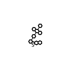 c1ccc(-c2c3ccccc3c(-c3ccc(-c4cccc5sc6cc7ccccc7cc6c45)cc3)c3ccccc23)cc1